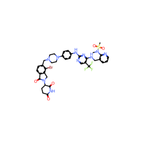 CN(c1ncccc1CNc1nc(Nc2ccc(N3CCN(Cc4ccc5c(c4Br)CN(C4CCC(=O)NC4=O)C5=O)CC3)cc2)ncc1C(F)(F)F)S(C)(=O)=O